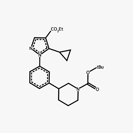 CCOC(=O)c1cnn(-c2cccc(C3CCCN(C(=O)OC(C)(C)C)C3)c2)c1C1CC1